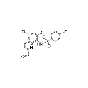 O=Cc1ccc2c(Cl)cc(Cl)c(NS(=O)(=O)c3ccc(F)cc3)c2n1